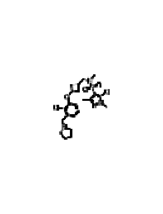 Cc1nn(C)c(Cl)c1S(=O)(=O)N(C)CC1CC(Oc2cccc(CN3CCCC3)c2Cl)C1